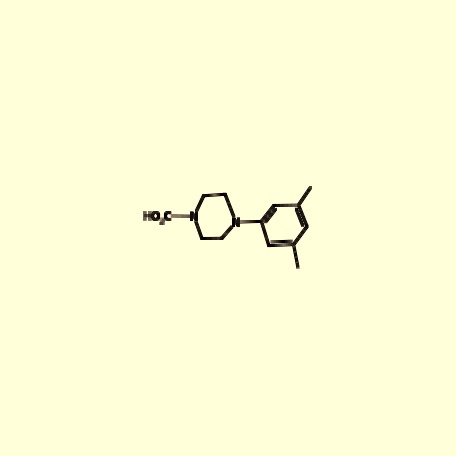 Cc1cc(C)cc(N2CCN(C(=O)O)CC2)c1